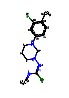 C=N/C(Br)=N\N1CCCN(c2ccc(C)c(F)c2)C1